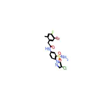 Cc1cc(F)c(Br)cc1CC(=O)Nc1ccc(-n2cc(Cl)cn2)c(S(N)(=O)=O)c1